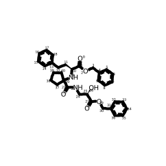 O=C(OCc1ccccc1)[C@H](CCc1ccccc1)NC1(C(=O)NC[C@H](O)C(=O)OCc2ccccc2)CCCC1